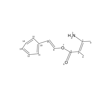 CC(N)=C(C)C(=O)OC=Cc1ccccc1